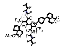 COc1nccc2c(-n3nc(-c4nn(-c5ccc(-c6cccc7c(=O)[nH]ccc67)cc5)c(C(F)(F)F)c4C(=O)N/C(F)=C(\C)C(F)=C(C)C)c(C(=O)N/C(F)=C(\C)C(F)=C(C)C)c3C(F)(F)F)cccc12